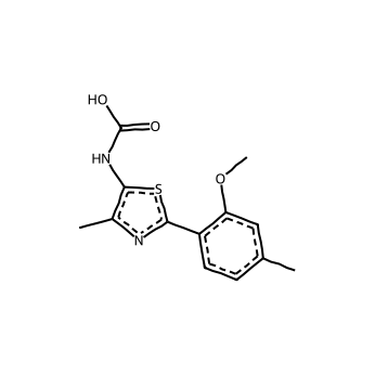 COc1cc(C)ccc1-c1nc(C)c(NC(=O)O)s1